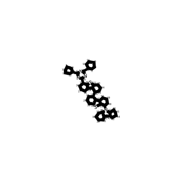 c1ccc(-c2nc(-c3ccccc3)nc(-c3cccc4c3sc3cccc(-c5cccc6sc7c(-n8c9ccccc9c9ccccc98)cccc7c56)c34)n2)cc1